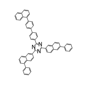 c1ccc(-c2ccc3cc(-c4nc(-c5ccc(-c6ccc(-c7cccc8ccccc78)cc6)cc5)nc(-c5ccc6c(-c7ccccc7)cccc6c5)n4)ccc3c2)cc1